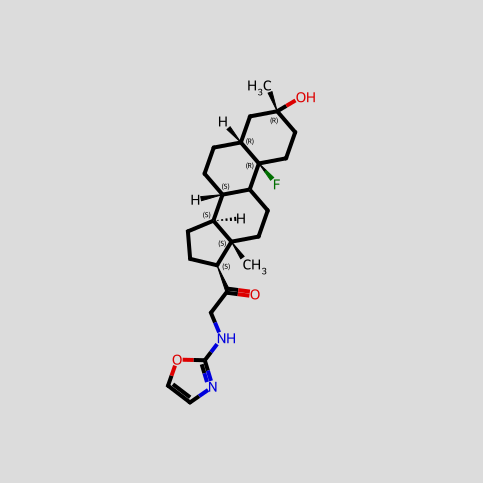 C[C@@]1(O)CC[C@]2(F)C3CC[C@]4(C)[C@@H](C(=O)CNc5ncco5)CC[C@H]4[C@@H]3CC[C@@H]2C1